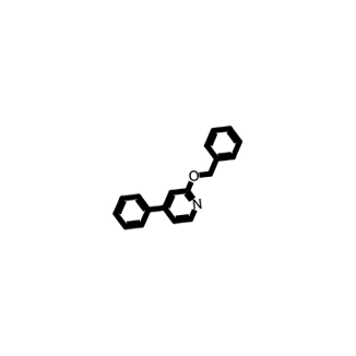 c1ccc(COc2cc(-c3ccccc3)ccn2)cc1